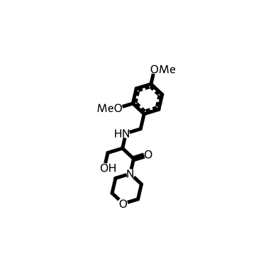 COc1ccc(CNC(CO)C(=O)N2CCOCC2)c(OC)c1